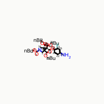 CCCCOC(=O)N1CC2(C(=O)OCCCC)[C@@](C(=O)OCCCC)(C1)[C@]2(COc1ccc(N)cc1F)C(=O)OCCCC